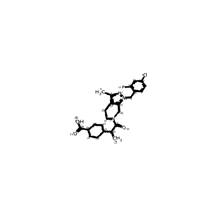 Cc1nn(Cc2ccc(Cl)cc2F)c2c1CCN(C(=O)C(C)C1CCC(C(=O)O)CC1)C2